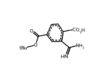 CC(C)(C)OC(=O)c1ccc(C(=O)O)c(C(=N)N)c1